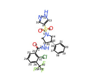 O=C(N[C@H]1CN(S(=O)(=O)c2cn[nH]c2)C[C@@H]1c1ccccc1)c1cccc(C(F)(F)F)c1Cl